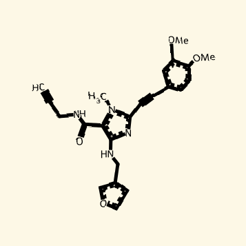 C#CCNC(=O)c1c(NCc2ccoc2)nc(C#Cc2ccc(OC)c(OC)c2)n1C